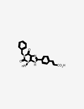 CCCn1c(=O)n(Cc2ccccc2)c(=O)c2nc(-c3ccc(C=CC(=O)O)cc3)[nH]c21